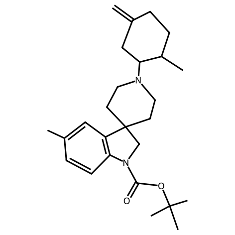 C=C1CCC(C)C(N2CCC3(CC2)CN(C(=O)OC(C)(C)C)c2ccc(C)cc23)C1